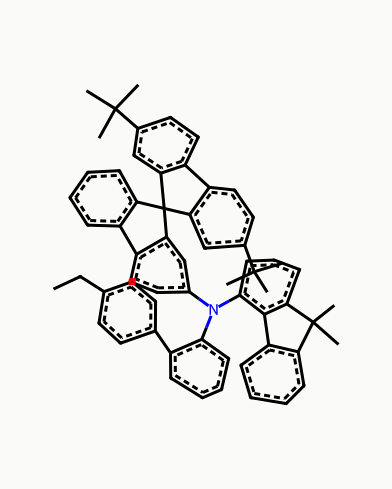 CCc1ccc(-c2ccccc2N(c2ccc3c(c2)C2(c4ccccc4-3)c3cc(C(C)(C)C)ccc3-c3ccc(C(C)(C)C)cc32)c2cccc3c2-c2ccccc2C3(C)C)cc1